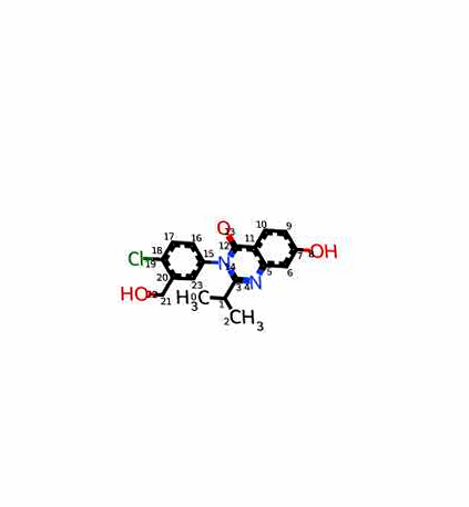 CC(C)c1nc2cc(O)ccc2c(=O)n1-c1ccc(Cl)c(CO)c1